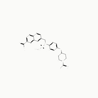 CNS(=O)(=O)N(Cc1ccc2ccc(C(=N)N)cc2c1)c1ccc(OC2CCN(C(C)=N)CC2)cc1